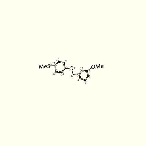 COc1cccc(COc2ccc(SC)cc2)c1